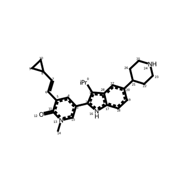 CC(C)c1c(-c2cc(C=CC3CC3)c(=O)n(C)c2)[nH]c2ccc(C3CCNCC3)cc12